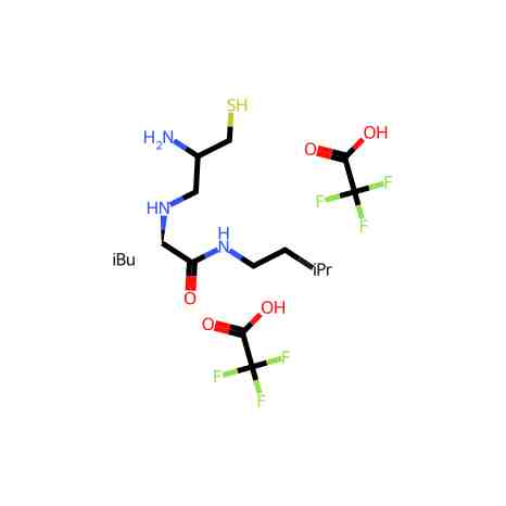 CC[C@H](C)[C@@H](NCC(N)CS)C(=O)NCCC(C)C.O=C(O)C(F)(F)F.O=C(O)C(F)(F)F